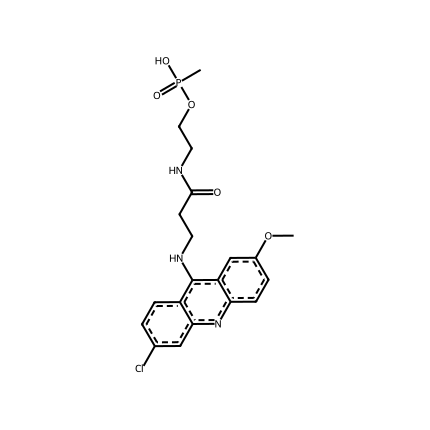 COc1ccc2nc3cc(Cl)ccc3c(NCCC(=O)NCCOP(C)(=O)O)c2c1